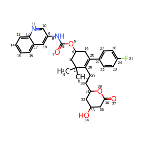 CC1(C)CC(OC(=O)Nc2cnc3ccccc3c2)CC(c2ccc(F)cc2)=C1CCC1CC(O)CC(=O)O1